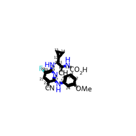 COc1cccc(Nc2nc(N[C@H](C3CC3)[C@H](C)NC(=O)O)c(F)cc2C#N)c1